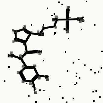 N=C(c1nonc1NCCNS(N)(=O)=O)N(O)c1ccc(F)c(Br)c1